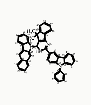 CC1(C)C2=C(N=C(c3ccc4c(c3)c3ccccc3n4-c3ccccc3)NC2n2c3ccccc3c3cc4ccccc4cc32)c2ccccc21